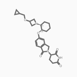 O=C1CCC(N2Cc3cc(O[C@@H]4CCCC[C@@H]4N4CC(OCC5CC5)C4)ccc3C2=O)C(=O)N1